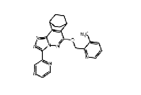 Cc1cccnc1COc1nn2c(-c3cnccn3)nnc2c2c1C1CCC2CC1